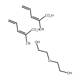 C=CC=C(C#N)C(=O)O.C=CC=C(C#N)C(=O)O.OCCOCCO